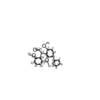 COc1ccc(-c2cccs2)cc1C(C=O)c1c(OC)cccc1OC